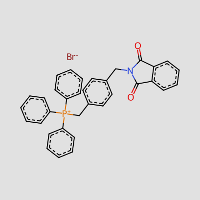 O=C1c2ccccc2C(=O)N1Cc1ccc(C[P+](c2ccccc2)(c2ccccc2)c2ccccc2)cc1.[Br-]